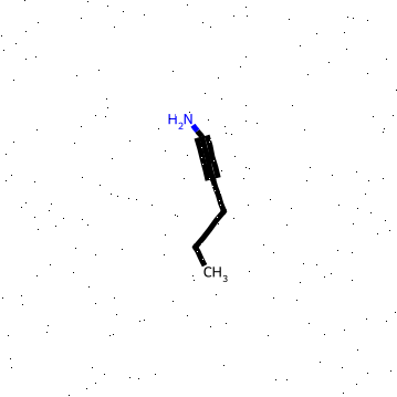 CCCC#CN